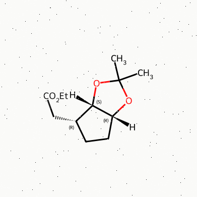 CCOC(=O)C[C@H]1CC[C@H]2OC(C)(C)O[C@@H]12